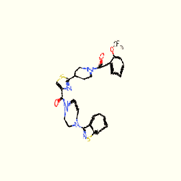 O=C(c1csc(C2CCN(C(=O)c3ccccc3OC(F)(F)F)CC2)n1)N1CCN(c2nsc3ccccc23)CC1